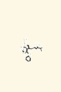 CC(C)C(=O)/C=C/Cc1c[nH]c2ncnc(Oc3ccccc3)c12